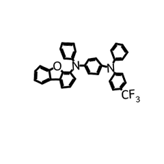 FC(F)(F)c1ccc(N(c2ccccc2)c2ccc(N(c3ccccc3)c3cccc4c3oc3ccccc34)cc2)cc1